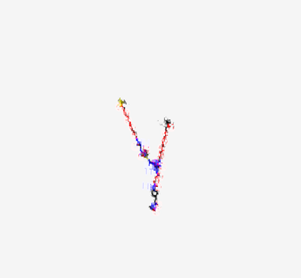 CC(=O)C1(C(=O)CCOCCOCCOCCOCCNC(=O)CCN2C(=O)CC(SCCC(=O)N[C@@H](CNC(=O)COCC(=O)Nc3ccc(CCC(=O)N4CCC4=O)cc3)C(=O)NCCOCCOCCOCCOCCC(=O)C(C(C)=O)(C(C)=O)C(C)=O)C2=O)SS1